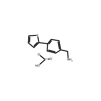 NCc1ccc(-c2cccs2)cc1.[O-][I+2]([O-])O